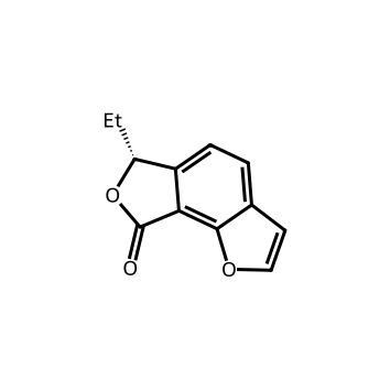 CC[C@H]1OC(=O)c2c1ccc1ccoc21